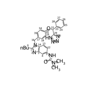 CCCCc1nc2cc(NC(=O)N(C)C)ccc2n1Cc1ccc(OC(c2ccccc2)c2nnn[nH]2)cc1